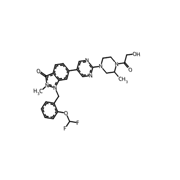 CC1CN(c2ncc(-c3ccc4c(=O)n(C)n(Cc5ccccc5OC(F)F)c4c3)cn2)CCN1C(=O)CO